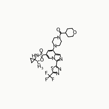 CC1(NS(=O)(=O)c2cc(N3CCN(C(=O)C4CCOCC4)CC3)c3cnc(-c4nnc(C(F)(F)F)s4)n3c2)CC1